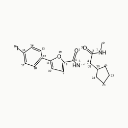 CNC(=O)[C@@H](NC(=O)c1ccc(-c2ccc(I)cc2)o1)C1CCCC1